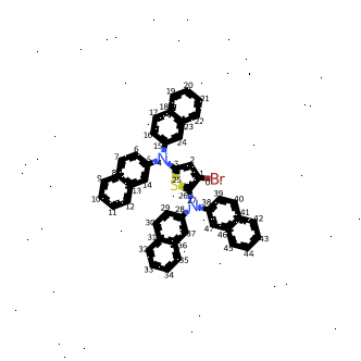 Brc1cc(N(c2ccc3ccccc3c2)c2ccc3ccccc3c2)sc1N(c1ccc2ccccc2c1)c1ccc2ccccc2c1